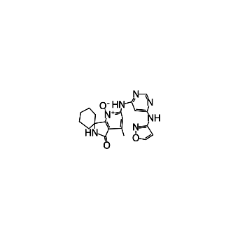 Cc1cc(Nc2cc(Nc3ccon3)ncn2)[n+]([O-])c2c1C(=O)NC21CCCCC1